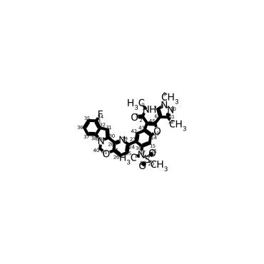 CNC(=O)c1c(-c2cn(C)nc2C)oc2cc(N(C)S(C)(=O)=O)c(-c3ccc4c(n3)-c3cc5c(F)cccc5n3CO4)cc12